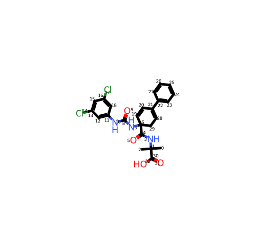 CC(C)(NC(=O)C1(NC(=O)Nc2cc(Cl)cc(Cl)c2)C=CC(c2ccccc2)=CC1)C(=O)O